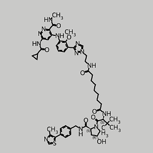 CNC(=O)c1nnc(NC(=O)C2CC2)cc1Nc1cccc(-c2ncn(CCNC(=O)CCCCCCCC(=O)N[C@H](C(=O)N3C[C@H](O)C[C@H]3C(=O)NCc3ccc(-c4scnc4C)cc3)C(C)(C)C)n2)c1OC